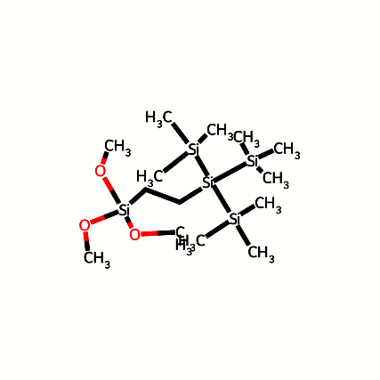 CO[Si](CC[Si]([Si](C)(C)C)([Si](C)(C)C)[Si](C)(C)C)(OC)OC